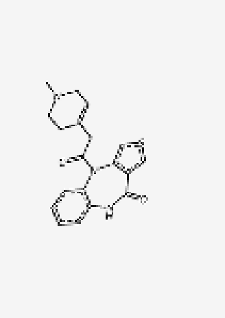 CN1CC=C(CC(=O)N2c3ccccc3NC(=O)c3cscc32)CC1